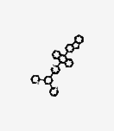 c1ccc(-c2cc(-c3ccc(-c4c5ccccc5c(-c5ccc6c(c5)Cc5ccccc5-6)c5ccccc45)nc3)cc(-c3ccccn3)c2)nc1